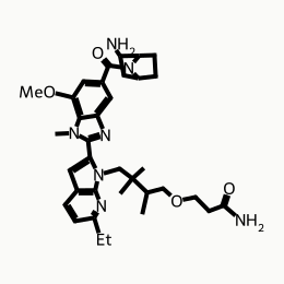 CCc1ccc2cc(-c3nc4cc(C(=O)N5C6CCC5C(N)C6)cc(OC)c4n3C)n(CC(C)(C)C(C)COCCC(N)=O)c2n1